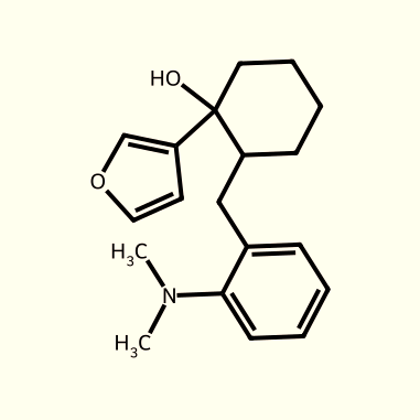 CN(C)c1ccccc1CC1CCCCC1(O)c1ccoc1